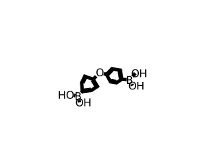 OB(O)c1ccc(Oc2ccc(B(O)O)cc2)cc1